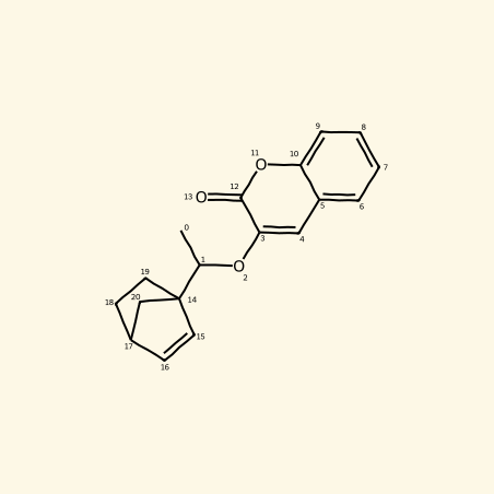 CC(Oc1cc2ccccc2oc1=O)C12C=CC(CC1)C2